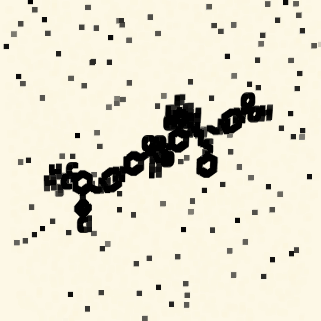 CC1(C)CCC(CN2CCN(c3ccc(C(=O)NS(=O)(=O)c4ccc(N[C@H](CCN5CCN(C(=O)O)CC5)CSc5ccccc5)c(S(=O)(=O)C(F)(F)F)c4)cc3)CC2)=C(C23CC(Cl)(C2)C3)C1